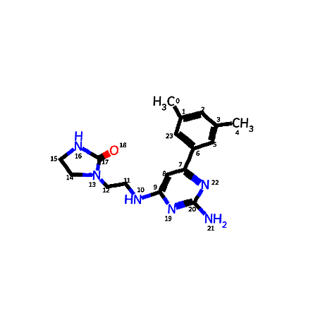 Cc1cc(C)cc(-c2cc(NCCN3CCNC3=O)nc(N)n2)c1